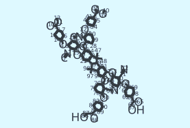 [C-]#[N+]c1c(Oc2ccc(C(=O)OC)cc2)cccc1Oc1cc2c(cc1Oc1cccc(Oc3ccc(C(=O)OC)cc3)c1[N+]#[C-])C(C)(C)C1c3cc(Oc4cccc(Oc5ccc(C(=O)CO)cc5)c4C#N)c(Oc4cccc(Oc5ccc(C(=O)CO)cc5)c4C#N)cc3C(C)(C)C21